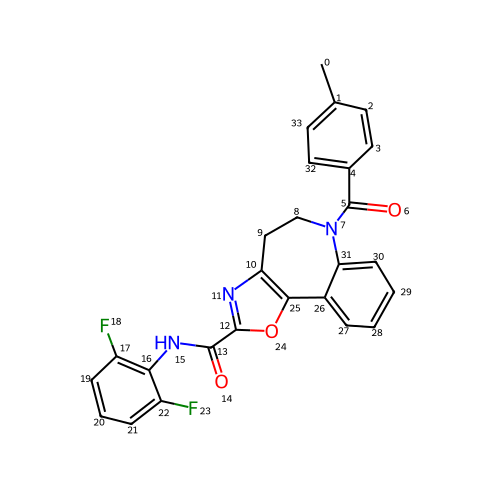 Cc1ccc(C(=O)N2CCc3nc(C(=O)Nc4c(F)cccc4F)oc3-c3ccccc32)cc1